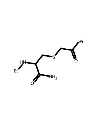 CCNC(CSCC(=O)C(C)C)C(N)=O